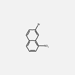 O=[N+]([O-])c1cccc2ccc(Br)cc12